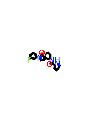 O=C(N[C@H]1CCC[C@@]2(CCN(c3cccc(F)c3)C2=O)C1)c1ccccn1